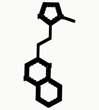 Cn1ccnc1CCc1cnc2ccccc2n1